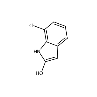 Oc1cc2cccc(Cl)c2[nH]1